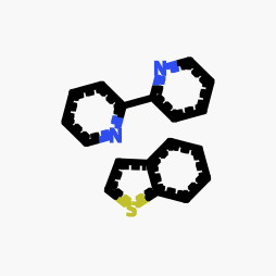 c1ccc(-c2ccccn2)nc1.c1ccc2sccc2c1